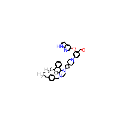 CCc1ccc(CN2CCN(C3CC4(CCN(c5ccc(C=O)c(Oc6cnc7[nH]ccc7c6)c5)CC4)C3)C(c3ccccc3C(C)C)C2)cc1